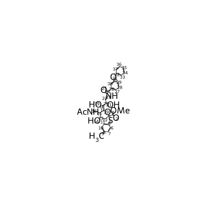 COC(=O)[C@]1(Sc2ccc(C)cc2)C[C@H](O)[C@@H](NC(C)=O)[C@H]([C@H](O)[C@H](O)CNC(=O)c2cccc(Oc3ccccc3)c2)O1